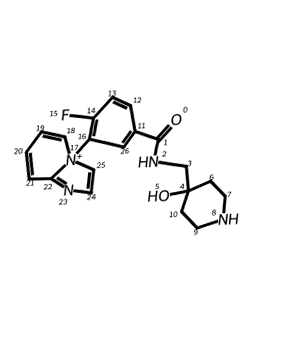 O=C(NCC1(O)CCNCC1)c1ccc(F)c([N+]23C=CC=CC2=NC=C3)c1